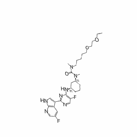 CCOCCOCCCCCN(C)C(=O)N(C)[C@H]1CCC[C@@H](Nc2nc(-c3c[nH]c4ncc(F)cc34)ncc2F)C1